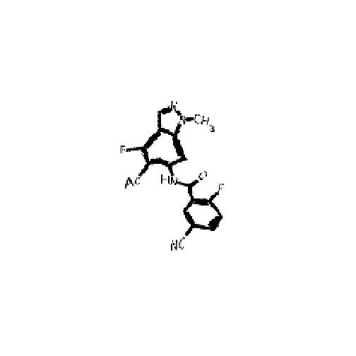 CC(=O)c1c(NC(=O)c2cc(C#N)ccc2F)cc2c(cnn2C)c1F